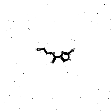 O=C(NCCO)c1csc(Br)n1